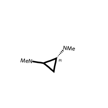 CNC1C[C@H]1NC